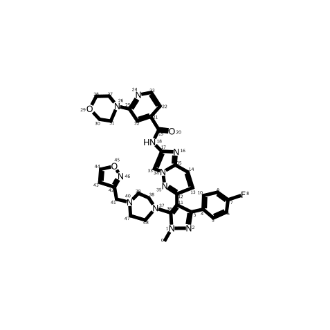 Cn1nc(-c2ccc(F)cc2)c(-c2ccc3nc(NC(=O)c4ccnc(N5CCOCC5)c4)cn3n2)c1N1CCN(Cc2ccon2)CC1